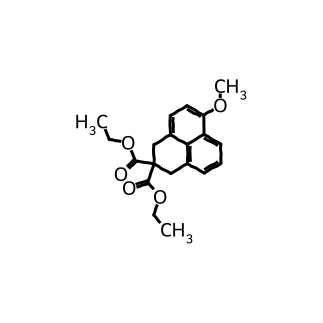 CCOC(=O)C1(C(=O)OCC)Cc2cccc3c(OC)ccc(c23)C1